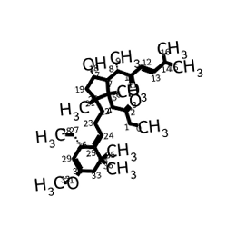 CCC(=O)CC1(C)C([C@H](C)C(=O)/C=C/C(C)C)[C@@H](O)CC1(C)CC/C=C1\[C@@H](CC)C=C(OC)CC1(C)C